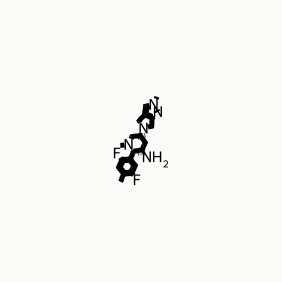 Cc1cc(F)c(C2[C@@H](N)C[C@H](N3Cc4cn(C)nc4C3)CN2C)cc1F